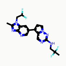 Cc1nc2ncc(-c3ccn4nc(NCC(C)(F)F)ncc34)cc2n1CC(F)F